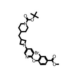 COC(=O)c1ccc(Oc2ccc(N3CC(CC4CCN(C(=O)OC(C)(C)C)CC4)C3)cn2)c(Br)c1